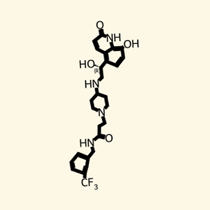 O=C(CCN1CCC(NC[C@H](O)c2ccc(O)c3[nH]c(=O)ccc23)CC1)NCc1cccc(C(F)(F)F)c1